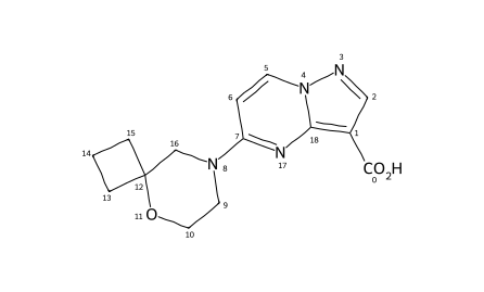 O=C(O)c1cnn2ccc(N3CCOC4(CCC4)C3)nc12